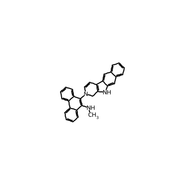 CNc1c(N2C=Cc3c([nH]c4cc5ccccc5cc34)C2)c2ccccc2c2ccccc12